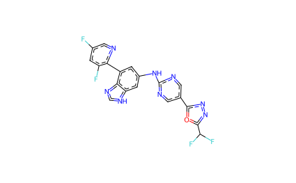 Fc1cnc(-c2cc(Nc3ncc(-c4nnc(C(F)F)o4)cn3)cc3[nH]cnc23)c(F)c1